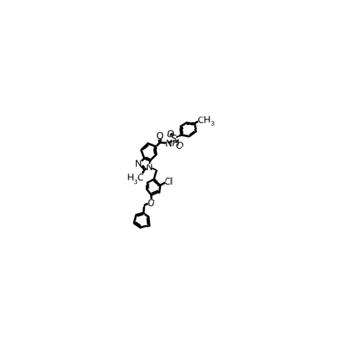 Cc1ccc(S(=O)(=O)NC(=O)c2ccc3nc(C)n(Cc4ccc(OCc5ccccc5)cc4Cl)c3c2)cc1